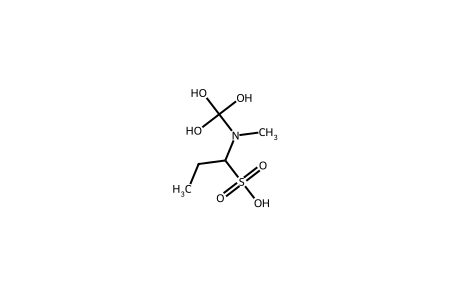 CCC(N(C)C(O)(O)O)S(=O)(=O)O